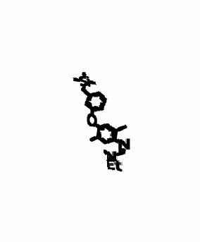 CCN(C)/C=N\c1cc(C)c(Oc2cccc(C[Si](C)(C)C)c2)cc1C